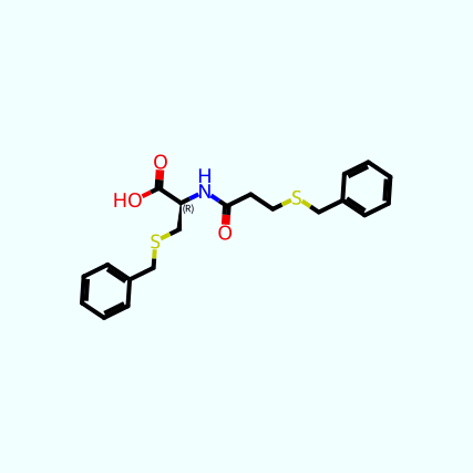 O=C(CCSCc1ccccc1)N[C@@H](CSCc1ccccc1)C(=O)O